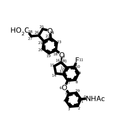 CC(=O)Nc1cccc(Oc2ccc(F)c3c2CC[C@H]3Oc2ccc3c(c2)OCC3CC(=O)O)c1